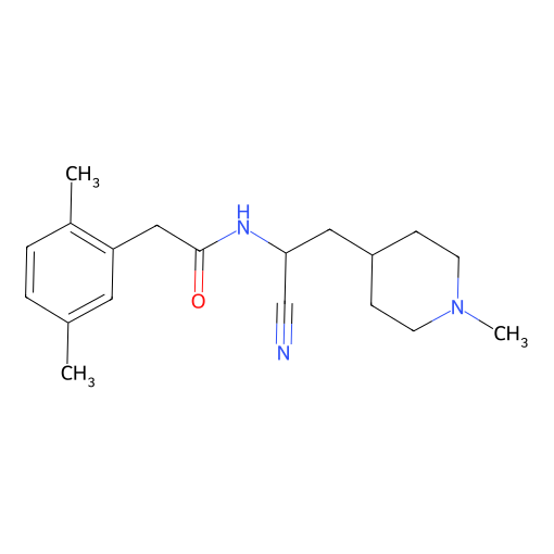 Cc1ccc(C)c(CC(=O)NC(C#N)CC2CCN(C)CC2)c1